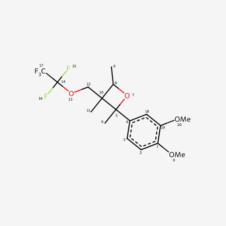 COc1ccc(C2(C)OC(C)C2(C)COC(F)(F)C(F)(F)F)cc1OC